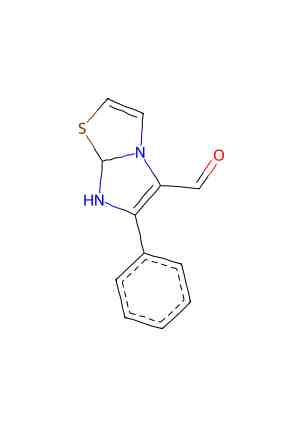 O=CC1=C(c2ccccc2)NC2SC=CN12